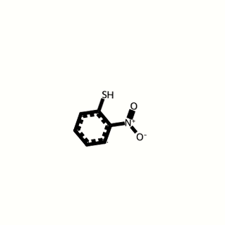 O=[N+]([O-])c1[c]cccc1S